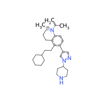 C=C(C)N1c2ccc(-c3cnn(C4CCNCC4)c3)c(CCC3CCCCC3)c2CC[C@@H]1C